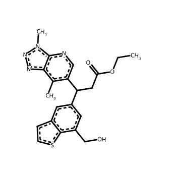 CCOC(=O)CC(c1cc(CO)c2sccc2c1)c1cnc2c(nnn2C)c1C